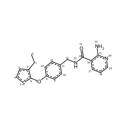 CCc1ccsc1Oc1ccc(CNC(=O)c2cccnc2N)cc1